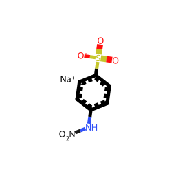 O=[N+]([O-])Nc1ccc(S(=O)(=O)[O-])cc1.[Na+]